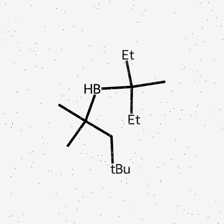 CCC(C)(BC(C)(C)CC(C)(C)C)CC